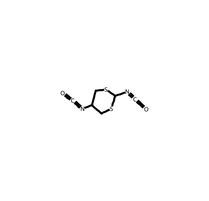 O=C=NC1CSC(N=C=O)SC1